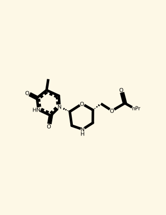 CCCC(=O)OC[C@@H]1CNC[C@H](n2cc(C)c(=O)[nH]c2=O)O1